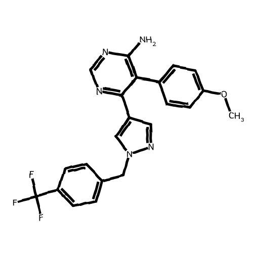 COc1ccc(-c2c(N)ncnc2-c2cnn(Cc3ccc(C(F)(F)F)cc3)c2)cc1